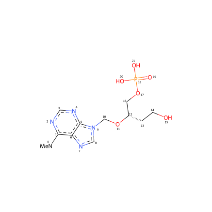 CNc1ncnc2c1ncn2CO[C@@H](CCO)COP(=O)(O)O